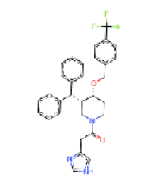 O=C(Cc1c[nH]cn1)N1CC[C@@H](OCc2ccc(C(F)(F)F)cc2)[C@@H](C(c2ccccc2)c2ccccc2)C1